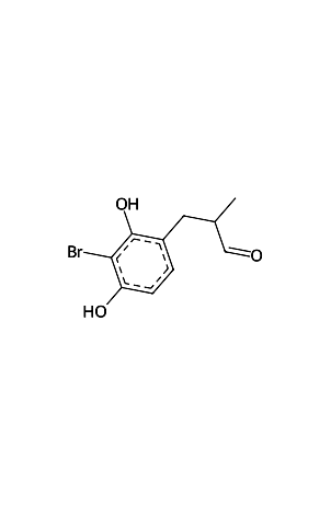 CC(C=O)Cc1ccc(O)c(Br)c1O